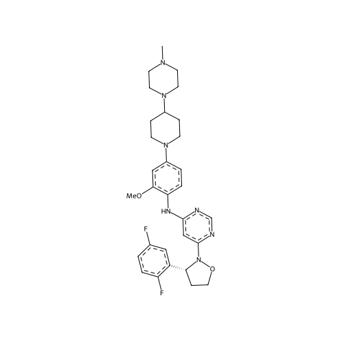 COc1cc(N2CCC(N3CCN(C)CC3)CC2)ccc1Nc1cc(N2OCC[C@@H]2c2cc(F)ccc2F)ncn1